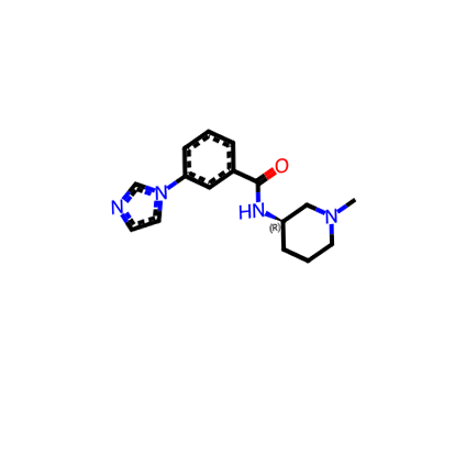 CN1CCC[C@@H](NC(=O)c2cccc(-n3ccnc3)c2)C1